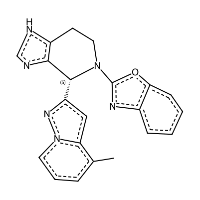 Cc1cccn2nc([C@@H]3c4nc[nH]c4CCN3c3nc4ccccc4o3)cc12